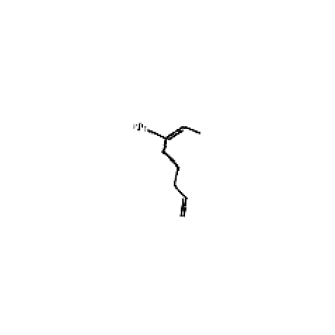 C=CCCCC(=CC)CCC